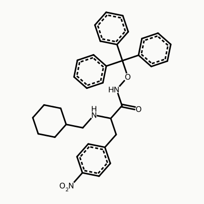 O=C(NOC(c1ccccc1)(c1ccccc1)c1ccccc1)C(Cc1ccc([N+](=O)[O-])cc1)NCC1CCCCC1